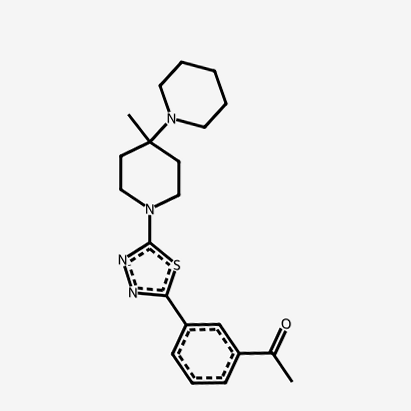 CC(=O)c1cccc(-c2nnc(N3CCC(C)(N4CCCCC4)CC3)s2)c1